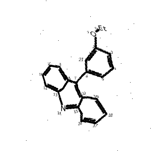 CCOc1cccc(-c2c3ccccc3nc3ccccc23)c1